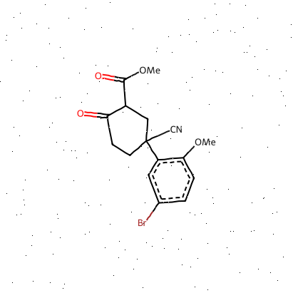 COC(=O)C1CC(C#N)(c2cc(Br)ccc2OC)CCC1=O